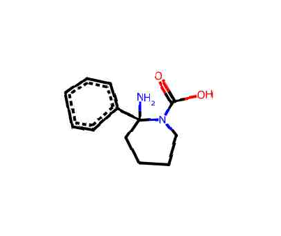 NC1(c2ccccc2)CCCCN1C(=O)O